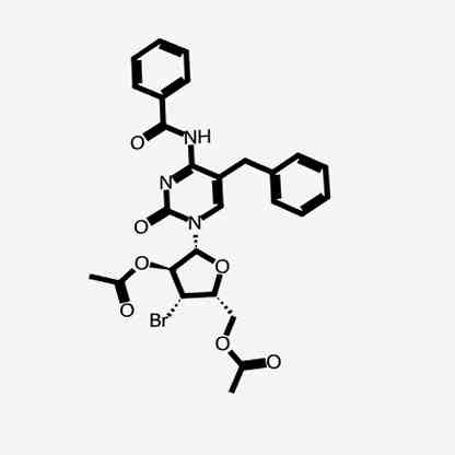 CC(=O)OC[C@H]1O[C@@H](n2cc(Cc3ccccc3)c(NC(=O)c3ccccc3)nc2=O)[C@H](OC(C)=O)[C@H]1Br